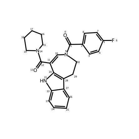 O=C(c1ccc(F)cc1)N1C=C(C(=O)N2CCCCC2)c2[nH]c3ccccc3c2CC1